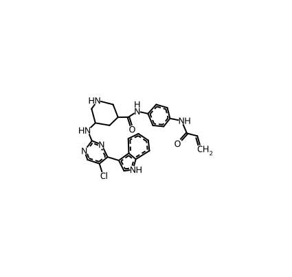 C=CC(=O)Nc1ccc(NC(=O)C2CNCC(Nc3ncc(Cl)c(-c4c[nH]c5ccccc45)n3)C2)cc1